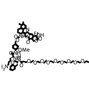 CC[C@@]1(O)C(=O)OCc2c1cc1n(c2=O)Cc2c-1nc1cc(C)c(C)c3c1c2[C@@H](NC(=O)OCc1ccc(NC(=O)[C@H](CCCCN)NC(=O)[C@H](Cc2ccccc2)NC(=O)CCOCCOCCOCCOCCOCCOCCOCCOCCOCCC(C)C)c(OC)c1)CC3